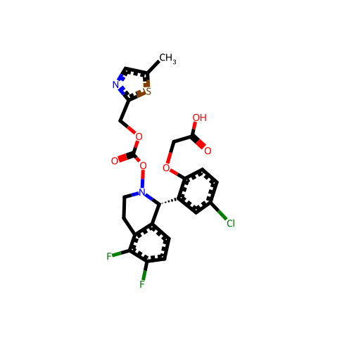 Cc1cnc(COC(=O)ON2CCc3c(ccc(F)c3F)[C@H]2c2cc(Cl)ccc2OCC(=O)O)s1